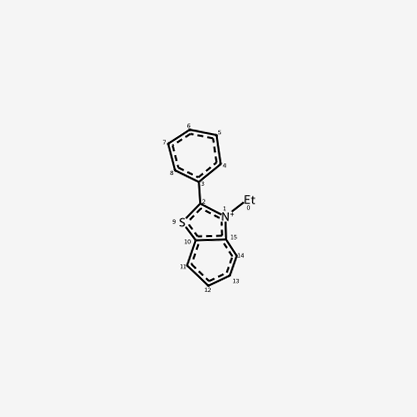 CC[n+]1c(-c2ccccc2)sc2ccccc21